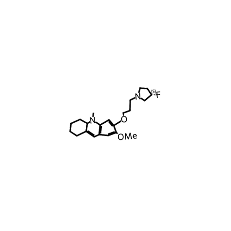 COc1cc2c(cc1OCCCN1CC[C@H](F)C1)N(C)C1CCCCC1=C2